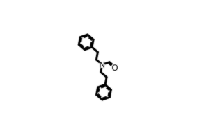 O=CN(CCc1ccccc1)CCc1ccccc1